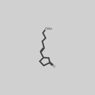 COCCCC=CC1CCC(=O)C1